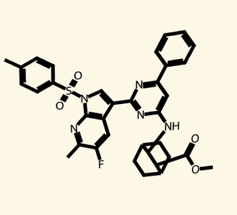 COC(=O)C1C2CCC(CC2)C1Nc1cc(-c2ccccc2)nc(-c2cn(S(=O)(=O)c3ccc(C)cc3)c3nc(C)c(F)cc23)n1